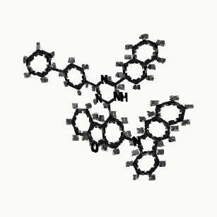 c1ccc(-c2ccc(C3=NC(c4cc(-n5c6ccccc6c6cc7ccccc7cc65)cc5oc6ccccc6c45)NC(c4ccc5ccccc5c4)=N3)cc2)cc1